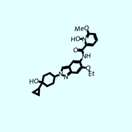 CCOc1cc2nn(C3CCC(O)(C4CC4)CC3)cc2cc1NC(=O)c1cccc(OC)[n+]1O